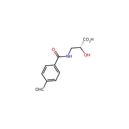 O=Cc1ccc(C(=O)NC[C@@H](O)C(=O)O)cc1